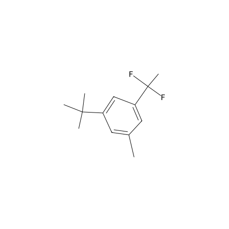 Cc1cc(C(C)(C)C)cc(C(C)(F)F)c1